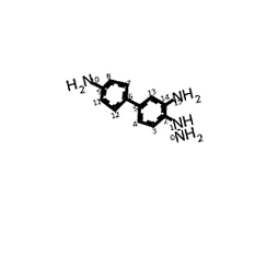 NNc1ccc(-c2ccc(N)cc2)cc1N